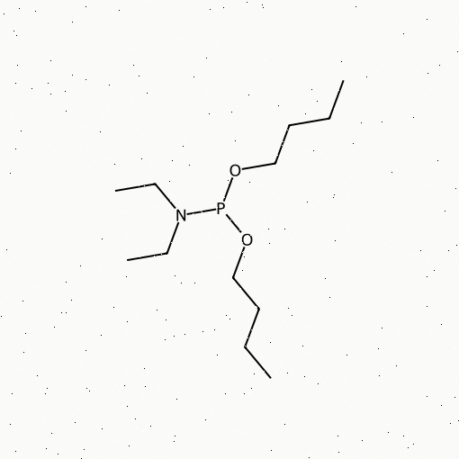 CCCCOP(OCCCC)N(CC)CC